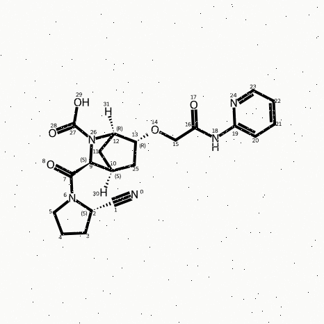 N#C[C@@H]1CCCN1C(=O)[C@@H]1[C@H]2C[C@H]([C@H](OCC(=O)Nc3ccccn3)C2)N1C(=O)O